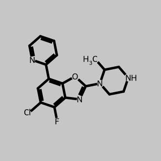 CC1CNCCN1c1nc2c(F)c(Cl)cc(-c3ccccn3)c2o1